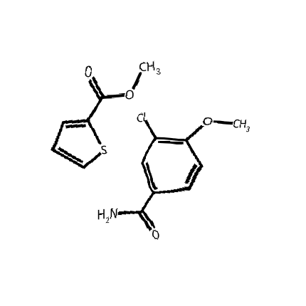 COC(=O)c1cccs1.COc1ccc(C(N)=O)cc1Cl